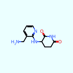 NCc1cccnc1NC1CCC(=O)NC1=O